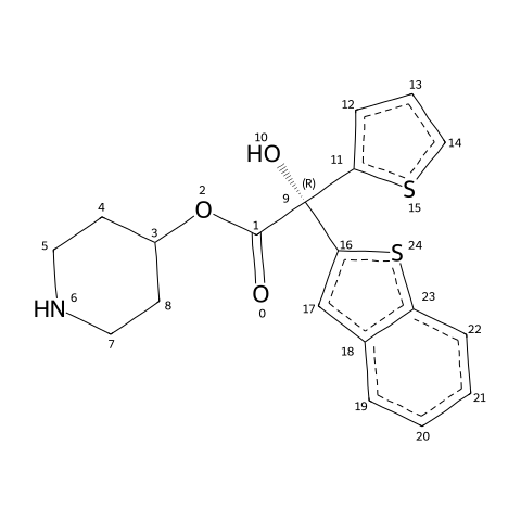 O=C(OC1CCNCC1)[C@@](O)(c1cccs1)c1cc2ccccc2s1